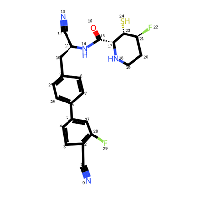 N#Cc1ccc(-c2ccc(C[C@@H](C#N)NC(=O)[C@H]3NCC[C@H](F)[C@H]3S)cc2)cc1F